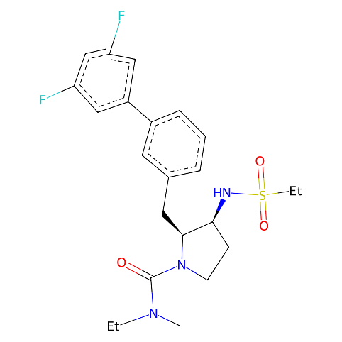 CCN(C)C(=O)N1CC[C@H](NS(=O)(=O)CC)[C@@H]1Cc1cccc(-c2cc(F)cc(F)c2)c1